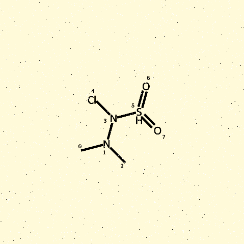 CN(C)N(Cl)[SH](=O)=O